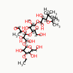 CCOC1C(O)C(CO)OC(O[C@H](O)C(O)C(OC2C(CO)OC(O[C@H](O)C(O)C(OC(C)C)C(C)(C)C)C(O)C2O)O[C@@H](C)C=O)C1O